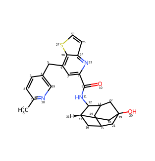 Cc1ccc(Cc2cc(C(=O)NC3C4CC5C[C@H]3CC(O)(C5)C4)nc3ccsc23)cn1